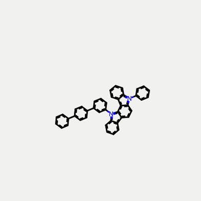 c1ccc(-c2ccc(-c3cccc(-n4c5ccccc5c5ccc6c(c7ccccc7n6-c6ccccc6)c54)c3)cc2)cc1